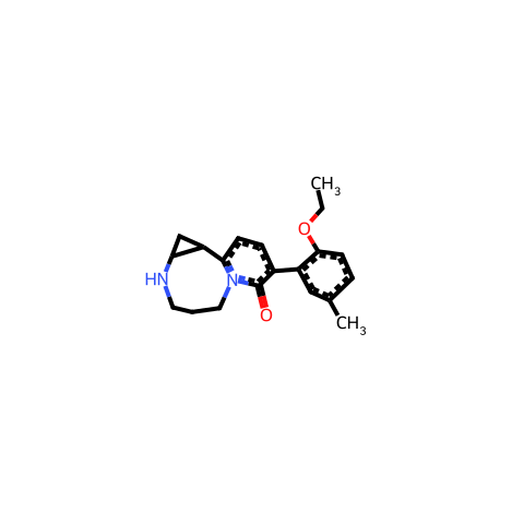 CCOc1ccc(C)cc1-c1ccc2n(c1=O)CCCNC1CC21